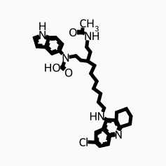 CC(=O)NCCC(CCCCCCCNc1c2c(nc3ccc(Cl)cc13)CCCC2)CCN(C(=O)O)c1ccc2[nH]ccc2c1